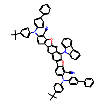 CC(C)(C)c1ccc(N(c2ccc(-c3ccccc3)cc2)c2ccc3c(oc4cc5c(-n6c7ccccc7c7ccccc76)c6oc7c(C#N)c(N(c8ccc(-c9ccccc9)cc8)c8ccc(C(C)(C)C)cc8)ccc7c6cc5cc43)c2C#N)cc1